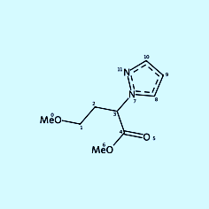 COCCC(C(=O)OC)n1cccn1